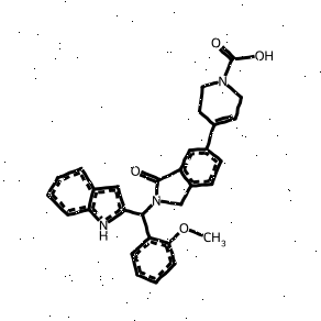 COc1ccccc1C(c1cc2ccccc2[nH]1)N1Cc2ccc(C3=CCN(C(=O)O)CC3)cc2C1=O